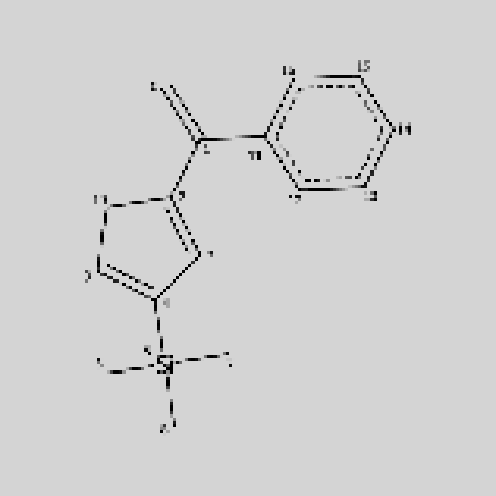 C=C(C1=CC([Si](C)(C)C)=CC1)c1ccccc1